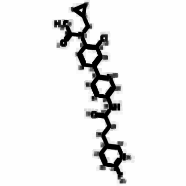 CC(=O)N(CC1CC1)c1ccc(-c2ccc(NC(=O)CCc3ccc(F)nc3)cn2)cc1Cl